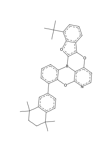 CC(C)(C)c1cccc2c3c(oc12)B1c2cccc(-c4ccc5c(c4)C(C)(C)CCC5(C)C)c2Oc2nccc(c21)O3